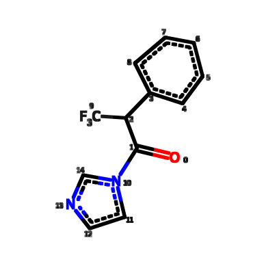 O=C(C(c1ccccc1)C(F)(F)F)n1ccnc1